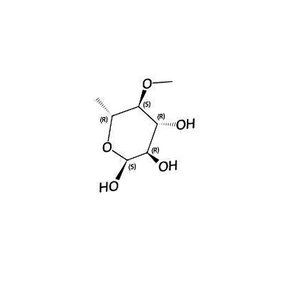 CO[C@H]1[C@H](O)[C@@H](O)[C@@H](O)O[C@@H]1C